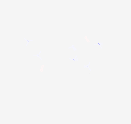 CCN1CCC[C@H]1CN1Cc2cc3nc(-c4c(N[C@@H](C)Cc5sccc5C)cc[nH]c4=O)[nH]c3cc2C1=O